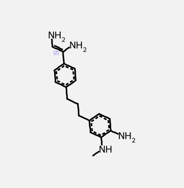 CNc1cc(CCCc2ccc(/C(N)=C/N)cc2)ccc1N